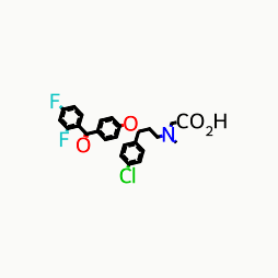 CN(CCC(Oc1ccc(C(=O)c2ccc(F)cc2F)cc1)c1ccc(Cl)cc1)CC(=O)O